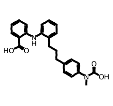 CN(C(=O)O)c1ccc(CCCc2ccccc2Nc2ccccc2C(=O)O)cc1